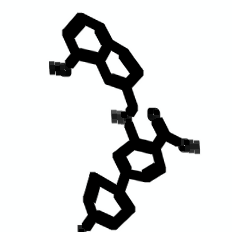 O=C(O)c1ccc(-c2ccc(F)cc2)cc1NCc1ccc2cccc(O)c2c1